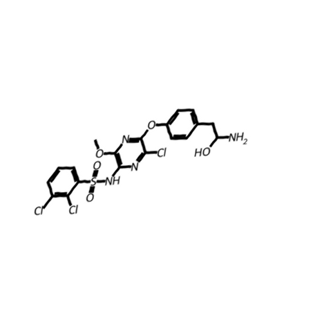 COc1nc(Oc2ccc(CC(N)O)cc2)c(Cl)nc1NS(=O)(=O)c1cccc(Cl)c1Cl